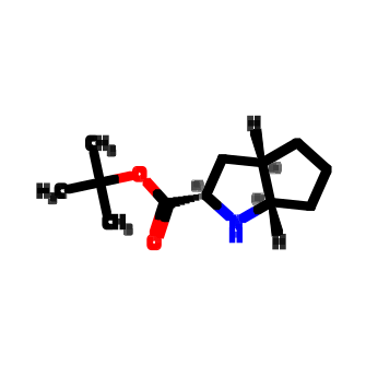 CC(C)(C)OC(=O)[C@@H]1C[C@@H]2CCC[C@@H]2N1